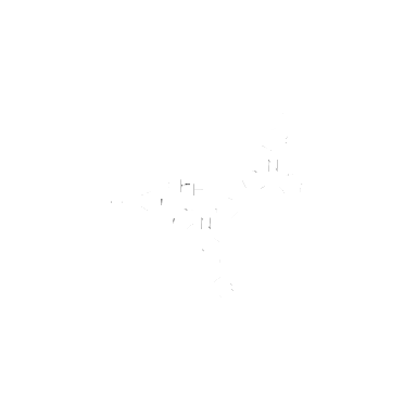 CC1(C)c2ccc(CO)cc2-c2ccc(N(c3ccc(-c4ccccc4)cc3)c3ccc(-c4ccc5c(c4)c4ccccc4n5-c4ccc(CO)cc4)cc3)cc21